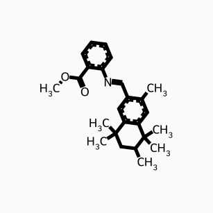 COC(=O)c1ccccc1N=Cc1cc2c(cc1C)C(C)(C)C(C)CC2(C)C